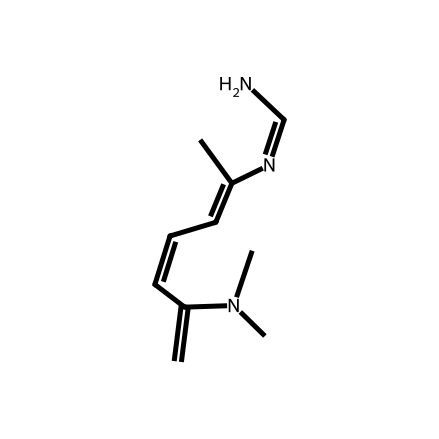 C=C(\C=C/C=C(C)/N=C\N)N(C)C